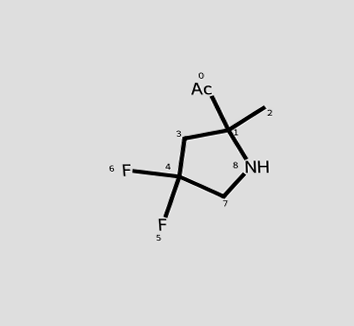 CC(=O)C1(C)CC(F)(F)CN1